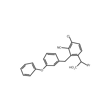 CC(C)C(C(=O)O)c1ccc(Cl)c(C#N)c1Cc1cccc(Oc2ccccc2)c1